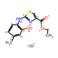 Br.CCOC(=O)c1csc(Nc2ccc(C)cc2O)n1